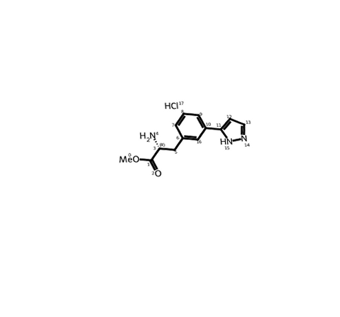 COC(=O)[C@H](N)Cc1cccc(-c2ccn[nH]2)c1.Cl